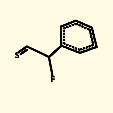 FC(C=S)c1ccccc1